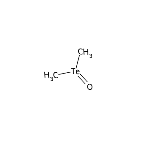 C[Te](C)=O